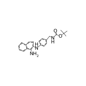 CC(C)(C)OC(=O)NCc1ccc(Nc2ccc3ccccc3c2N)cc1